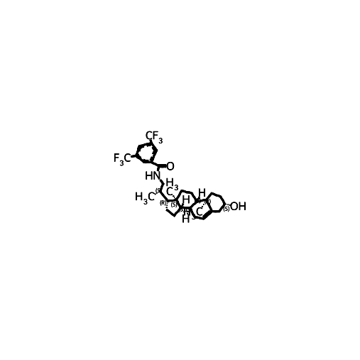 C[C@H](CNC(=O)c1cc(C(F)(F)F)cc(C(F)(F)F)c1)[C@H]1CC[C@H]2[C@@H]3CC=C4C[C@@H](O)CC[C@]4(C)[C@H]3CC[C@]12C